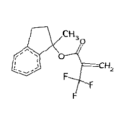 C=C(C(=O)OC1(C)CCc2ccccc21)C(F)(F)F